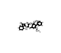 COc1cc(C[C@H](NC2=CC(=O)C23CCCCC3)C(=O)O)cc(OC)c1-c1ccccc1